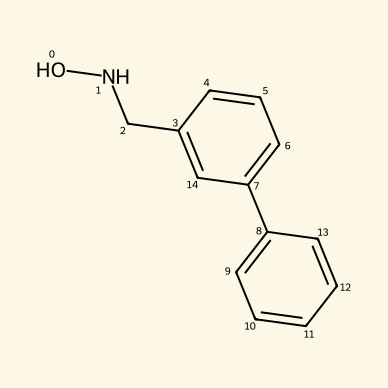 ONCc1cccc(-c2ccccc2)c1